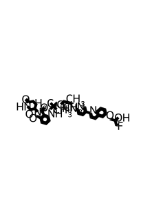 CC(C)(CNc1ccc(-c2ccc3cc(OCC(O)CF)ccc3n2)cn1)COCC(C)(C)CNc1cccc2c1C(=O)N(C1CCC(=O)NC1=O)C2=O